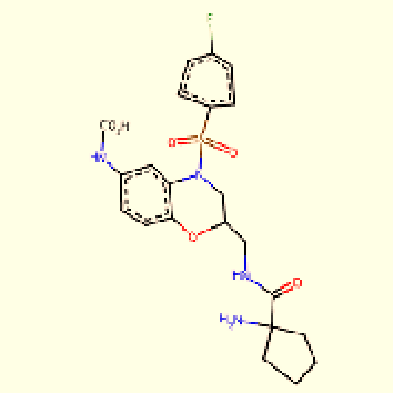 NC1(C(=O)NCC2CN(S(=O)(=O)c3ccc(F)cc3)c3cc(NC(=O)O)ccc3O2)CCCC1